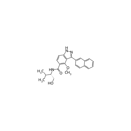 COc1c(C(=O)N[C@H](CO)C(C)C)ccc2[nH]nc(-c3ccc4ccccc4c3)c12